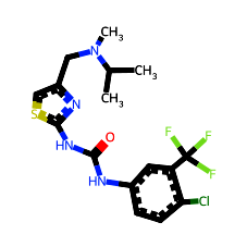 CC(C)N(C)Cc1csc(NC(=O)Nc2ccc(Cl)c(C(F)(F)F)c2)n1